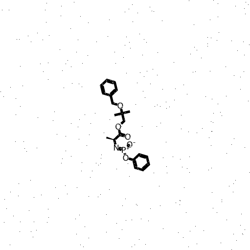 C[C@H](N=[P+]([O-])Oc1ccccc1)C(=O)OCC(C)(C)OCc1ccccc1